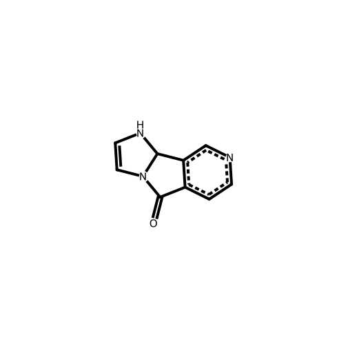 O=C1c2ccncc2C2NC=CN12